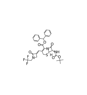 CC(C)(C)OC(=O)N[C@@H]1C(=O)N2C(C(=O)OC(c3ccccc3)c3ccccc3)=C(/C=C3\CN(CC(F)(F)F)C3=O)CS[C@H]12